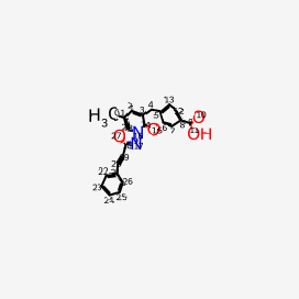 Cc1cc(Cc2ccc(C(=O)O)cc2)c(=O)n2nc(C#Cc3ccccc3)oc12